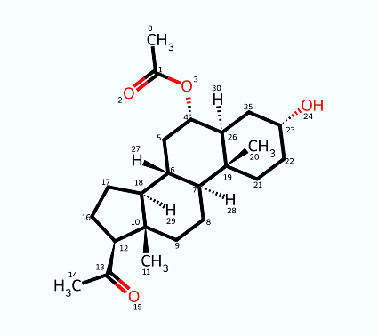 CC(=O)O[C@H]1C[C@@H]2[C@H](CC[C@]3(C)[C@@H](C(C)=O)CC[C@@H]23)[C@@]2(C)CC[C@@H](O)C[C@H]12